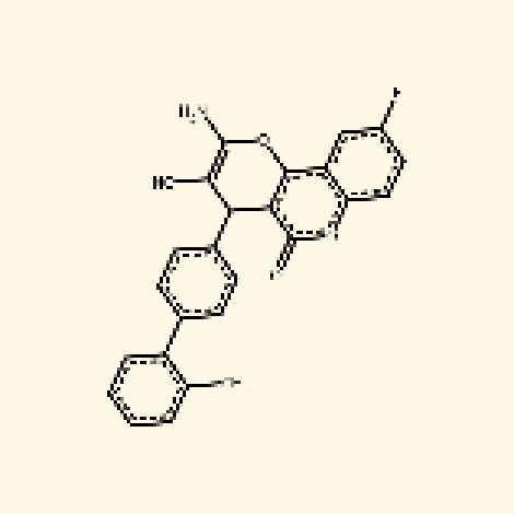 Cc1ccccc1-c1ccc(C2C(C#N)=C(N)Oc3c2c(=O)oc2ccc(F)cc32)cc1